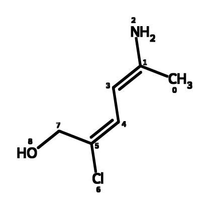 C/C(N)=C\C=C(\Cl)CO